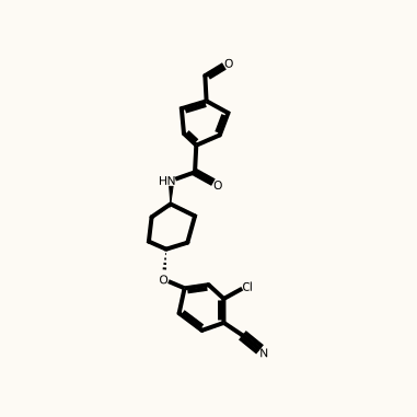 N#Cc1ccc(O[C@H]2CC[C@H](NC(=O)c3ccc(C=O)cc3)CC2)cc1Cl